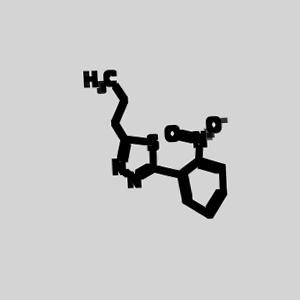 CCCc1nnc(-c2ccccc2[N+](=O)[O-])s1